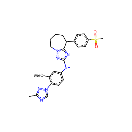 COc1cc(Nc2nc3n(n2)CCCCC3c2ccc(S(C)(=O)=O)cc2)ccc1-n1cnc(C)n1